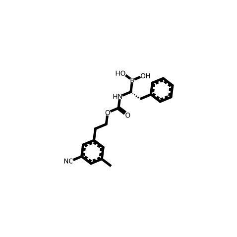 Cc1cc(C#N)cc(CCOC(=O)N[C@@H](Cc2ccccc2)B(O)O)c1